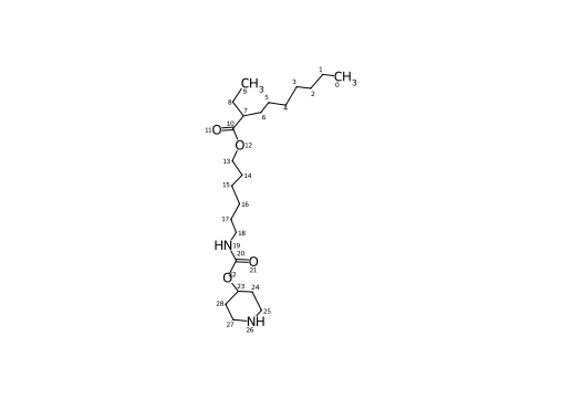 CCCCCCCC(CC)C(=O)OCCCCCCNC(=O)OC1CCNCC1